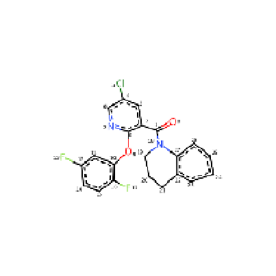 O=C(c1cc(Cl)cnc1Oc1cc(F)ccc1F)N1CCCc2ccccc21